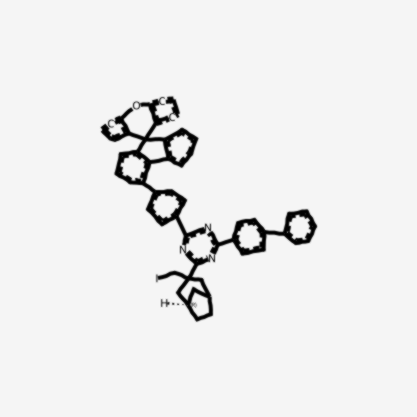 ICC1(c2nc(-c3ccc(-c4ccccc4)cc3)nc(-c3ccc(-c4cccc5c4-c4ccccc4C54c5ccccc5Oc5ccccc54)cc3)n2)CC2CC[C@H](C2)C1